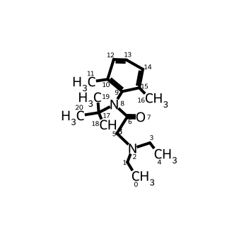 CCN(CC)CC(=O)N(c1c(C)cccc1C)C(C)(C)C